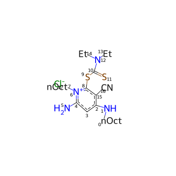 CCCCCCCCNc1cc(N)[n+](CCCCCCCC)c(SC(=S)N(CC)CC)c1C#N.[Cl-]